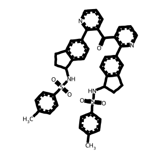 Cc1ccc(S(=O)(=O)NC2CCc3cc(-c4ncccc4C(=O)c4cccnc4-c4ccc5c(c4)CCC5NS(=O)(=O)c4ccc(C)cc4)ccc32)cc1